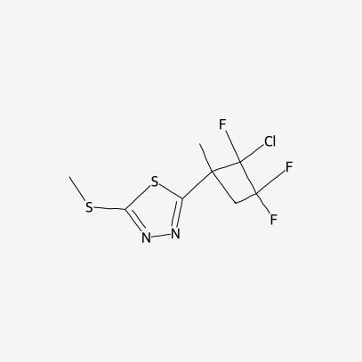 CSc1nnc(C2(C)CC(F)(F)C2(F)Cl)s1